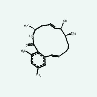 Cc1cc(C)c2c(c1)/C=C/CC[C@H](O)[C@H](O)/C=C/C[C@H](C)NC2=O